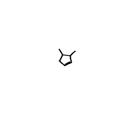 CC1[CH]C=CC1C